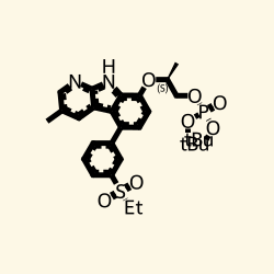 CCS(=O)(=O)c1cccc(-c2ccc(O[C@@H](C)COP(=O)(OC(C)(C)C)OC(C)(C)C)c3[nH]c4ncc(C)cc4c23)c1